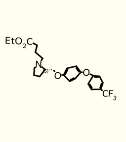 CCOC(=O)CCCN1CCC[C@H]1COc1ccc(Oc2ccc(C(F)(F)F)cc2)cc1